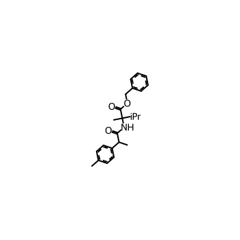 Cc1ccc(C(C)C(=O)NC(C)(C(=O)OCc2ccccc2)C(C)C)cc1